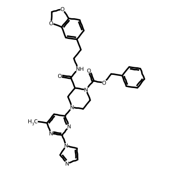 Cc1cc(N2CCN(C(=O)OCc3ccccc3)C(C(=O)NCCc3ccc4c(c3)OCO4)C2)nc(-n2ccnc2)n1